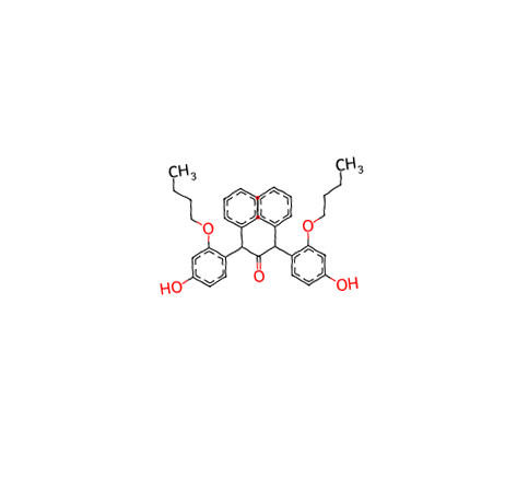 CCCCOc1cc(O)ccc1C(C(=O)C(c1ccccc1)c1ccc(O)cc1OCCCC)c1ccccc1